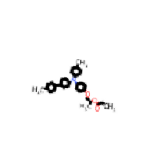 C=CC(=O)OC(C)COc1ccc(N(c2ccc(C)cc2)c2ccc(-c3ccc(C)cc3)cc2)cc1